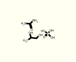 CC(O)CO.NC(N)=O.O=P(O)(O)O